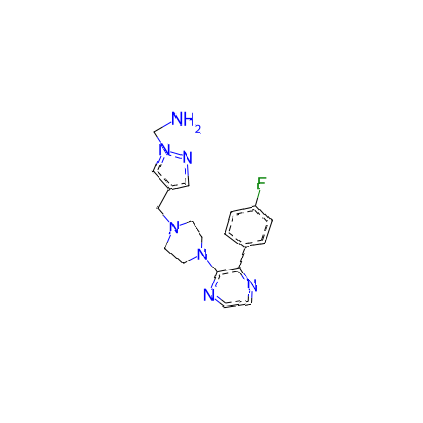 NCn1cc(CN2CCN(c3nccnc3-c3ccc(F)cc3)CC2)cn1